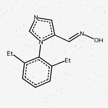 CCc1cccc(CC)c1-n1cncc1C=NO